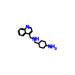 NC1CCC(CNCc2ccnc3ccccc23)CC1